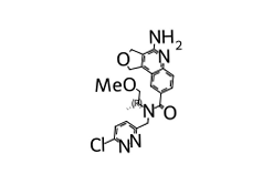 COC[C@@H](C)N(Cc1ccc(Cl)nn1)C(=O)c1ccc2nc(N)c3c(c2c1)COC3